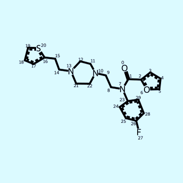 O=C(c1ccco1)N(CCN1CCN(CCc2cccs2)CC1)c1ccc(F)cc1